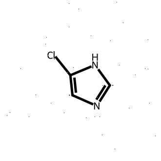 Clc1[c]n[c][nH]1